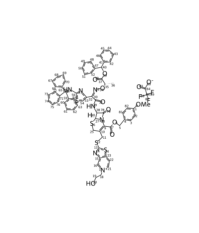 COc1ccc(COC(=O)C2=C(CSc3nc4c[n+](CCO)ccc4s3)CS[C@H]3C(NC(=O)/C(=N\O[C@@H](C)C(=O)OC(c4ccccc4)c4ccccc4)c4csc(NC(c5ccccc5)(c5ccccc5)c5ccccc5)n4)C(=O)N23)cc1.O=C([O-])C(F)(F)F